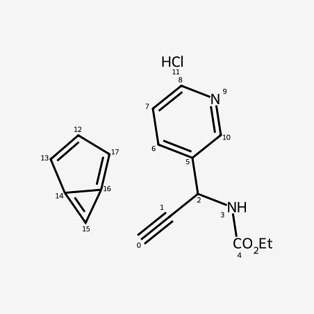 C#CC(NC(=O)OCC)c1cccnc1.Cl.c1cc2cc-2c1